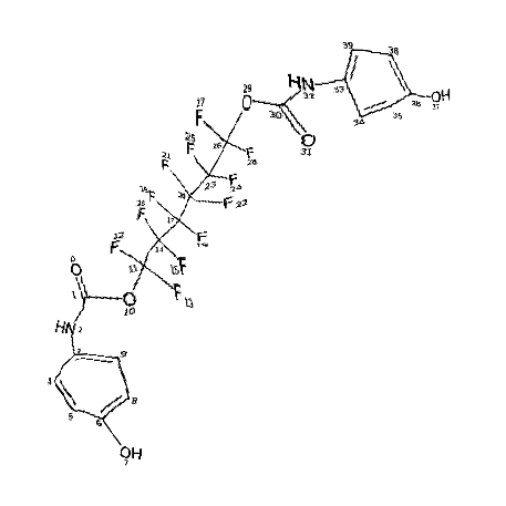 O=C(Nc1ccc(O)cc1)OC(F)(F)C(F)(F)C(F)(F)C(F)(F)C(F)(F)C(F)(F)OC(=O)Nc1ccc(O)cc1